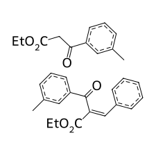 CCOC(=O)C(=Cc1ccccc1)C(=O)c1cccc(C)c1.CCOC(=O)CC(=O)c1cccc(C)c1